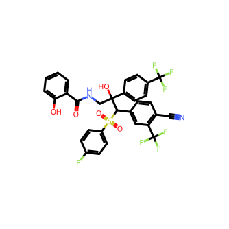 N#Cc1ccc(C(C(O)(CNC(=O)c2ccccc2O)c2ccc(C(F)(F)F)cc2)S(=O)(=O)c2ccc(F)cc2)cc1C(F)(F)F